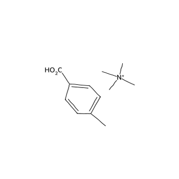 C[N+](C)(C)C.Cc1ccc(C(=O)O)cc1